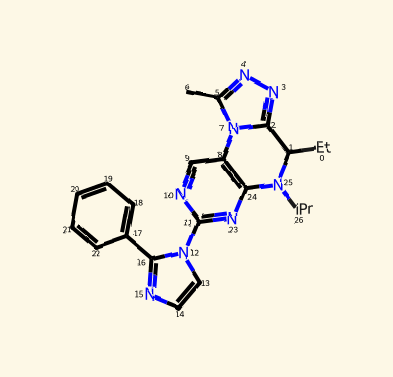 CCC1c2nnc(C)n2-c2cnc(-n3ccnc3-c3ccccc3)nc2N1C(C)C